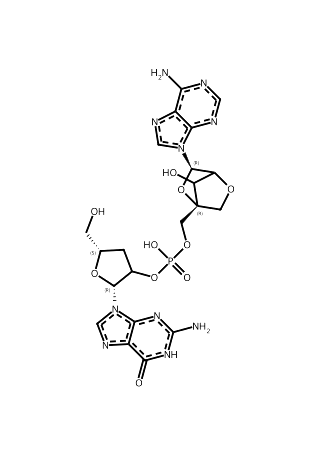 Nc1nc2c(ncn2[C@@H]2O[C@H](CO)CC2OP(=O)(O)OC[C@]23COC(C2O)[C@H](n2cnc4c(N)ncnc42)O3)c(=O)[nH]1